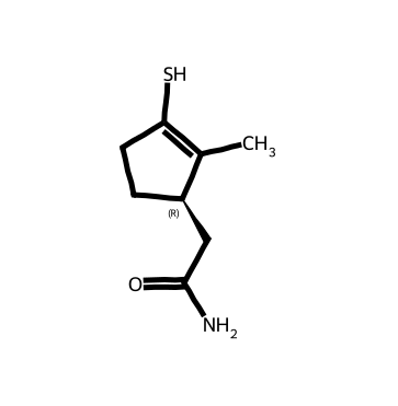 CC1=C(S)CC[C@@H]1CC(N)=O